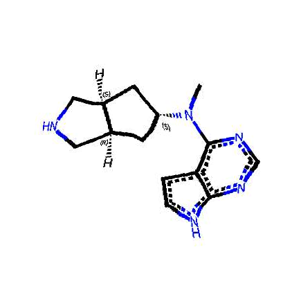 CN(c1ncnc2[nH]ccc12)[C@@H]1C[C@H]2CNC[C@H]2C1